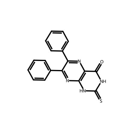 O=c1[nH]c(=S)[nH]c2nc(-c3ccccc3)c(-c3ccccc3)nc12